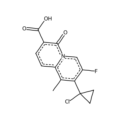 Cc1c(C2(Cl)CC2)c(F)cn2c(=O)c(C(=O)O)ccc12